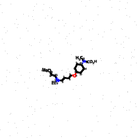 CCN(CCCCO[C@H]1CC[C@H](N(C)C(=O)O)CC1)CCOC